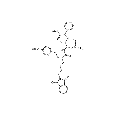 CNC(=O)C(c1ccccc1)N1CC[C@H](C)CC(NC(=O)C(CCCCN2C(=O)c3ccccc3C2=O)SCc2ccc(OC)cc2)C1=O